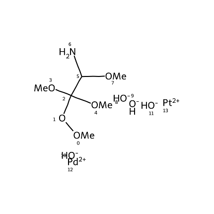 COOC(OC)(OC)C(N)OC.[OH-].[OH-].[OH-].[OH-].[Pd+2].[Pt+2]